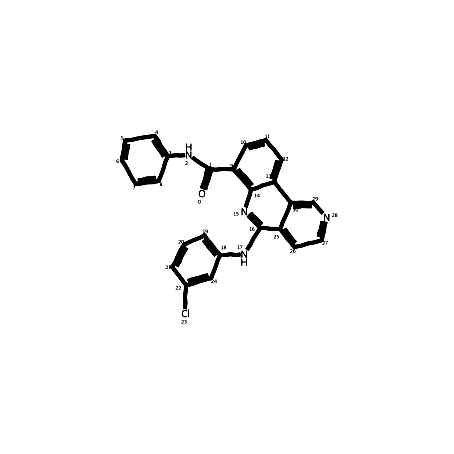 O=C(Nc1ccccc1)c1cccc2c1nc(Nc1cccc(Cl)c1)c1ccncc12